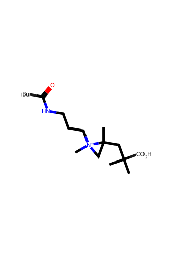 CCC(C)C(=O)NCCC[N+]1(C)CC1(C)CC(C)(C)C(=O)O